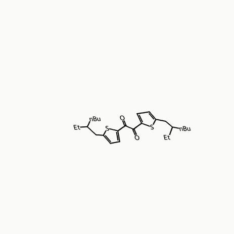 CCCCC(CC)Cc1ccc(C(=O)C(=O)c2ccc(CC(CC)CCCC)s2)s1